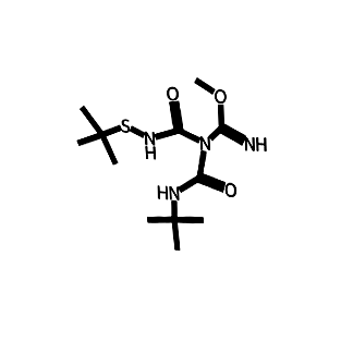 COC(=N)N(C(=O)NSC(C)(C)C)C(=O)NC(C)(C)C